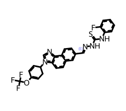 Fc1ccccc1NC(=S)N/N=C/c1ccc2c(ccc3c2ncn3C2C=CC(OC(F)(F)F)=CC2)c1